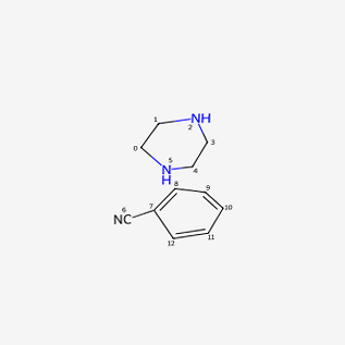 C1CNCCN1.N#Cc1ccccc1